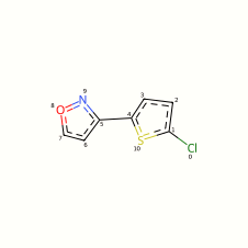 Clc1ccc(-c2ccon2)s1